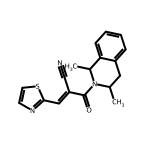 CC1Cc2ccccc2C(C)N1C(=O)/C(C#N)=C/c1nccs1